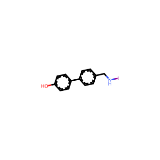 Oc1ccc(-c2ccc(CNI)cc2)cc1